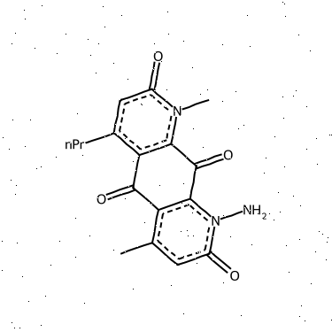 CCCc1cc(=O)n(C)c2c1C(=O)c1c(C)cc(=O)n(N)c1C2=O